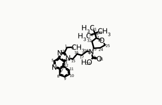 CCc1nc2cnc3ccccc3c2n1CCCCN(C(=O)O)C1CCOC(C(C)(C)C)C1